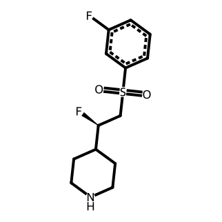 O=S(=O)(C[C@H](F)C1CCNCC1)c1cccc(F)c1